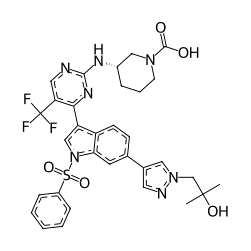 CC(C)(O)Cn1cc(-c2ccc3c(-c4nc(N[C@H]5CCCN(C(=O)O)C5)ncc4C(F)(F)F)cn(S(=O)(=O)c4ccccc4)c3c2)cn1